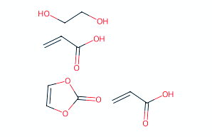 C=CC(=O)O.C=CC(=O)O.O=c1occo1.OCCO